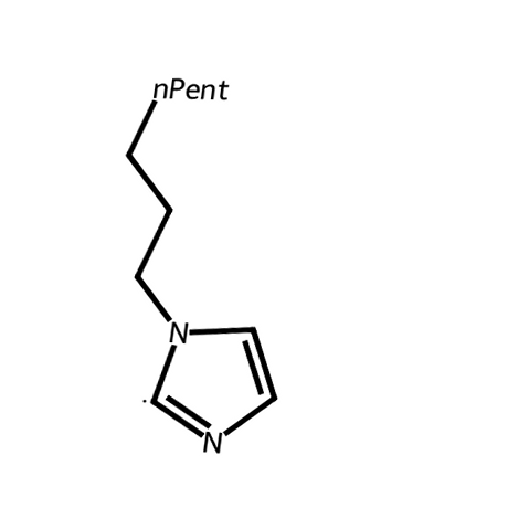 CCCCCCCCn1[c]ncc1